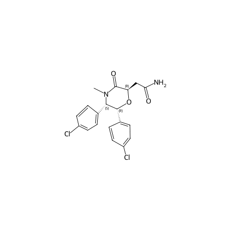 CN1C(=O)[C@@H](CC(N)=O)O[C@H](c2ccc(Cl)cc2)[C@@H]1c1ccc(Cl)cc1